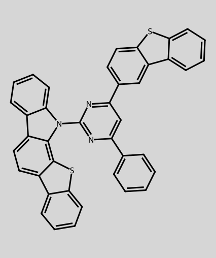 c1ccc(-c2cc(-c3ccc4sc5ccccc5c4c3)nc(-n3c4ccccc4c4ccc5c6ccccc6sc5c43)n2)cc1